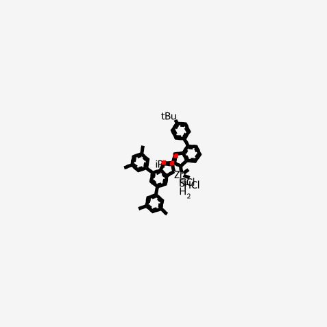 CC1=Cc2c(-c3cc(C)cc(C)c3)cc(-c3cc(C)cc(C)c3)cc2[CH]1[Zr]([CH3])([CH3])(=[SiH2])[CH]1C(C(C)C)=Cc2c(-c3ccc(C(C)(C)C)cc3)cccc21.Cl.Cl